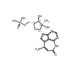 C[C@@]1(O)[C@H](O)[C@@H](COP(=O)(O)O)O[C@H]1n1cc2c3c(ncnc31)NC(=O)C=C2N